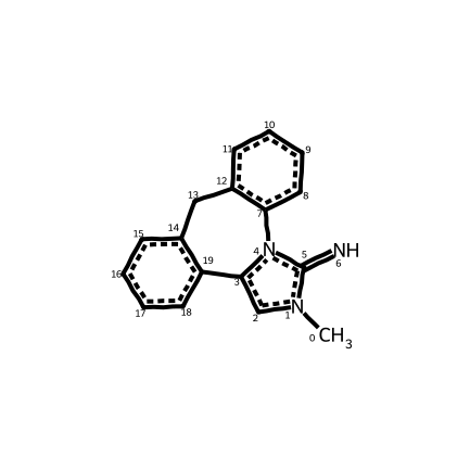 Cn1cc2n(c1=N)-c1ccccc1Cc1ccccc1-2